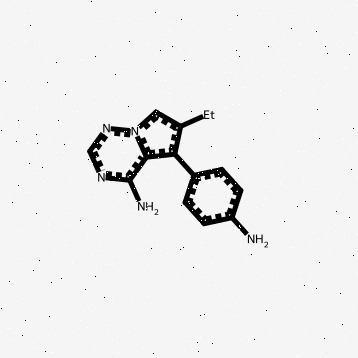 [CH2]Cc1cn2ncnc(N)c2c1-c1ccc(N)cc1